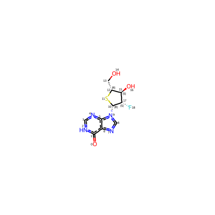 O=c1[nH]cnc2c1ncn2[C@@H]1S[C@H](CO)[C@@H](O)[C@@H]1F